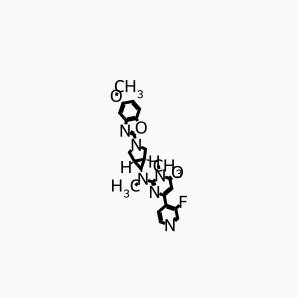 COc1ccc2oc(N3C[C@@H]4[C@H](C3)[C@H]4N(C)c3nc(-c4ccncc4F)cc(=O)n3C)nc2c1